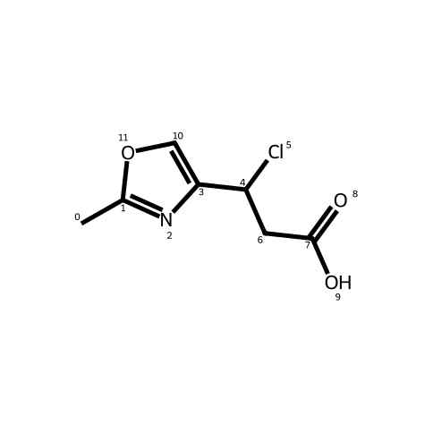 Cc1nc(C(Cl)CC(=O)O)co1